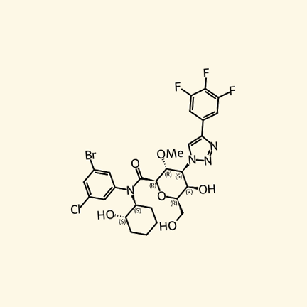 CO[C@@H]1[C@@H](n2cc(-c3cc(F)c(F)c(F)c3)nn2)[C@@H](O)[C@@H](CO)O[C@H]1C(=O)N(c1cc(Cl)cc(Br)c1)[C@H]1CCCC[C@@H]1O